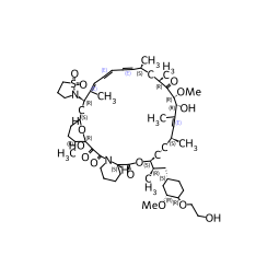 CO[C@@H]1C[C@H](C[C@@H](C)[C@@H]2CC[C@H](C)/C=C(\C)[C@@H](O)[C@@H](OC)C(=O)[C@H](C)C[C@H](C)/C=C/C=C/C=C(\C)[C@H](N3CCCS3(=O)=O)C[C@@H]3CC[C@@H](C)[C@@](O)(O3)C(=O)C(=O)N3CCCC[C@H]3C(=O)O2)CC[C@H]1OCCO